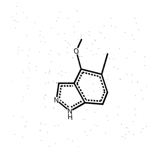 COc1c(C)ccc2[nH]n[c]c12